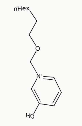 CCCCCCCCOC[n+]1cccc(O)c1